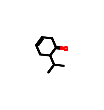 CC(C)C1CC=CCC1=O